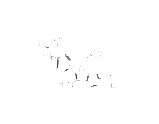 CCOc1ccc2c(N)c(-c3ccc(NC(=O)OC(C)C)cc3)n(CC3CCC3)c2c1